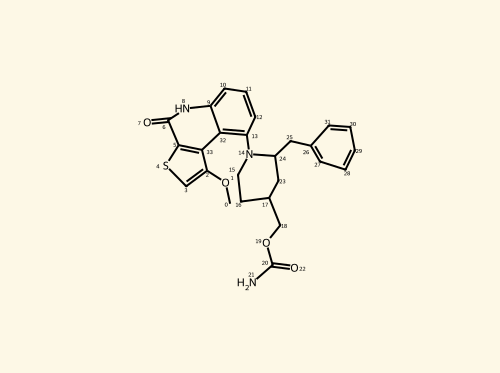 COc1csc2c(=O)[nH]c3cccc(N4CCC(COC(N)=O)CC4Cc4ccccc4)c3c12